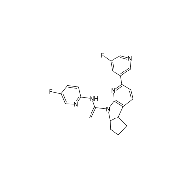 C=C(Nc1ccc(F)cn1)N1c2nc(-c3cncc(F)c3)ccc2C2CCCC21